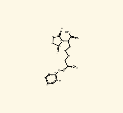 CC(CCCCC(C(=O)O)N1C(=O)CCC1=O)SSc1ccccn1